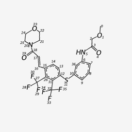 COCC(=O)Nc1cccc(Sc2ccc(C=CC(=O)N3CCOCC3)c(C(F)(F)F)c2C(F)(F)F)c1